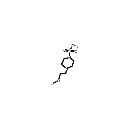 CCOCCN1CCN(S(C)(=O)=O)CC1